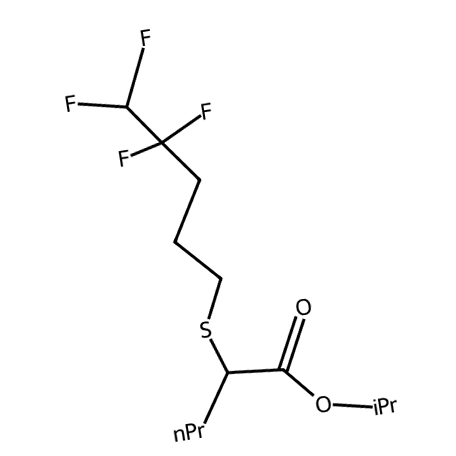 CCCC(SCCCC(F)(F)C(F)F)C(=O)OC(C)C